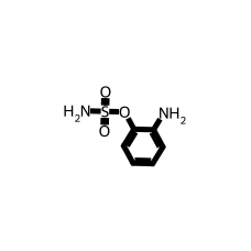 Nc1ccccc1OS(N)(=O)=O